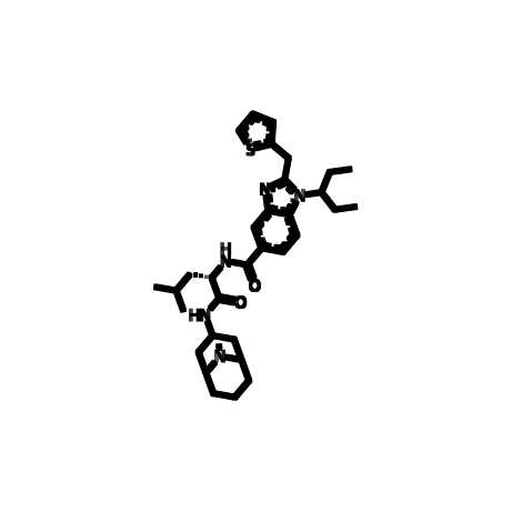 CCC(CC)n1c(Cc2cccs2)nc2cc(C(=O)N[C@@H](CC(C)C)C(=O)NC3CC4CCCC(C3)N4C)ccc21